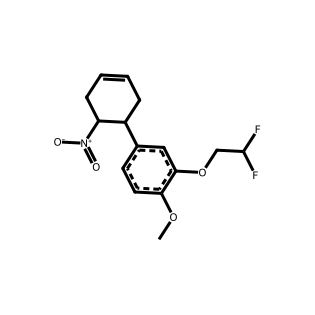 COc1ccc(C2CC=CCC2[N+](=O)[O-])cc1OCC(F)F